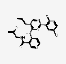 CCCc1cnc(-c2cc(Cl)ccc2F)nc1Nc1ccncc1C(=O)NCC(C)O